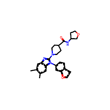 Cc1cc2nc(N3CCC(C(=O)NC4CCOC4)CC3)n(-c3ccc4ccoc4c3)c2cc1C